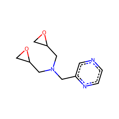 c1cnc(CN(CC2CO2)CC2CO2)cn1